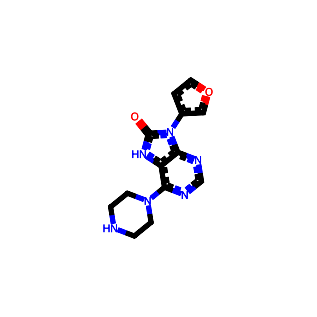 O=c1[nH]c2c(N3CCNCC3)ncnc2n1-c1ccoc1